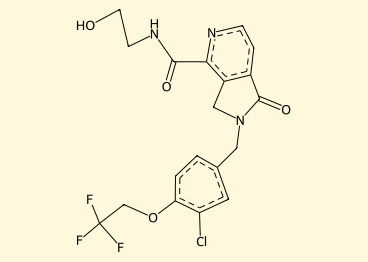 O=C(NCCO)c1nccc2c1CN(Cc1ccc(OCC(F)(F)F)c(Cl)c1)C2=O